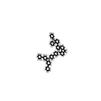 CC1(C)c2ccccc2-c2c(N(c3ccc(-c4ccc(-n5c6ccc(-c7ccccc7)cc6c6cc(C7C=CC=CC7)ccc65)cc4)cc3)c3ccc(-c4cccc5c4c4ccccc4n5-c4ccccc4)cc3)cccc21